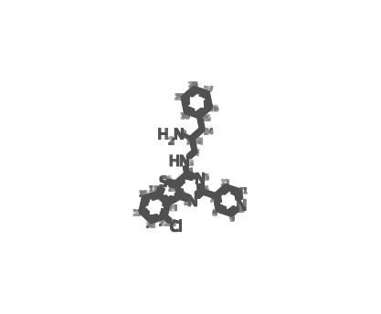 N[C@H](CNc1nc(-c2ccncc2)nc2c1sc1cccc(Cl)c12)Cc1ccccc1